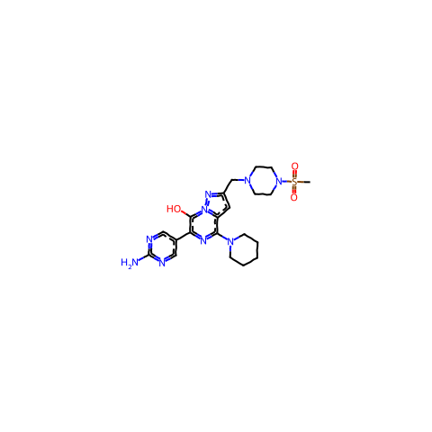 CS(=O)(=O)N1CCN(Cc2cc3c(N4CCCCC4)nc(-c4cnc(N)nc4)c(O)n3n2)CC1